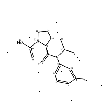 Cc1cccc(N(C(=O)[C@@H]2CCCN2C(=O)O)C(C)C)c1